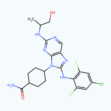 CC(CO)Nc1ncc2nc(Nc3c(F)cc(Cl)cc3F)n(C3CCC(C(N)=O)CC3)c2n1